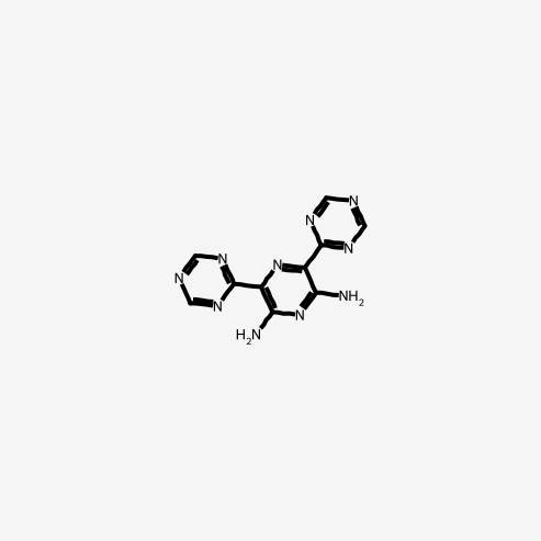 Nc1nc(N)c(-c2ncncn2)nc1-c1ncncn1